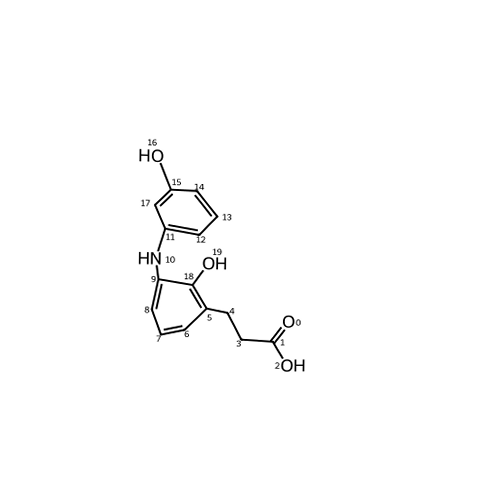 O=C(O)CCc1cccc(Nc2cccc(O)c2)c1O